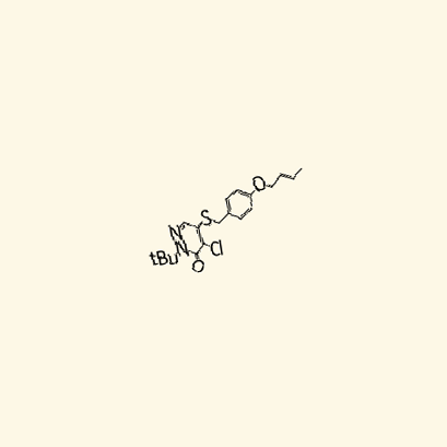 C/C=C/COc1ccc(CSc2cnn(C(C)(C)C)c(=O)c2Cl)cc1